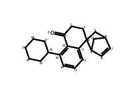 O=C1CCC2(CC3C=CC2C3)c2cccc(C3CCCCC3)c21